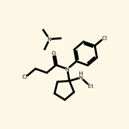 CCNC1(N(C(=O)CCCl)c2ccc(Cl)cc2)CCCC1.CN(C)C